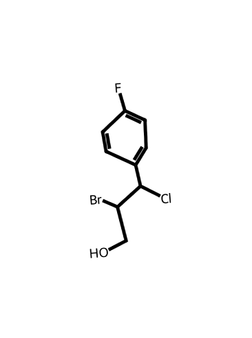 OCC(Br)C(Cl)c1ccc(F)cc1